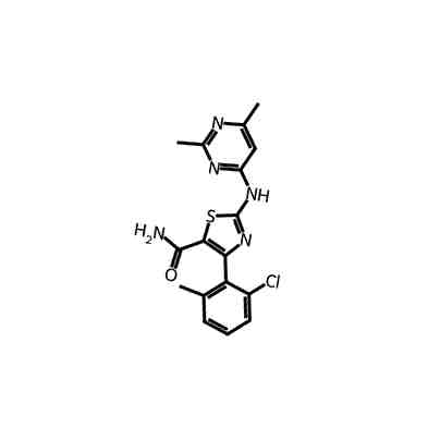 Cc1cc(Nc2nc(-c3c(C)cccc3Cl)c(C(N)=O)s2)nc(C)n1